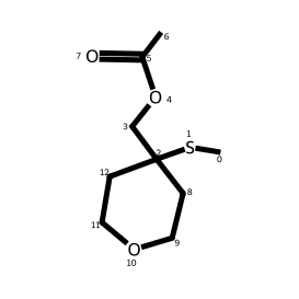 CSC1(COC(C)=O)CCOCC1